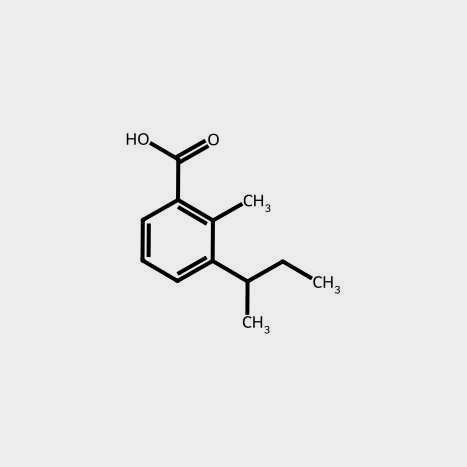 CCC(C)c1cccc(C(=O)O)c1C